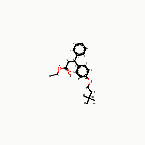 CCOC(=O)CC(c1ccccc1)c1ccc(OCCC(C)(C)C)cc1